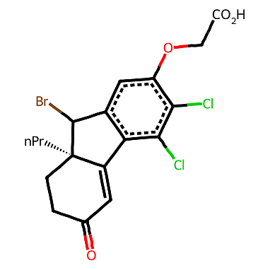 CCC[C@@]12CCC(=O)C=C1c1c(cc(OCC(=O)O)c(Cl)c1Cl)C2Br